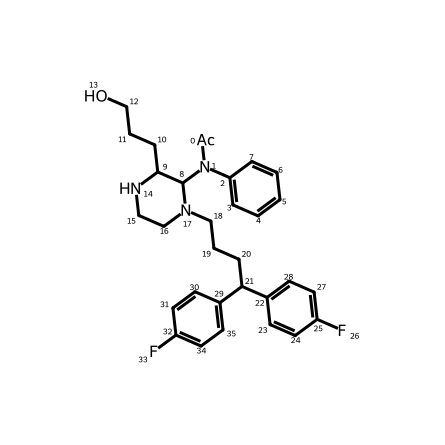 CC(=O)N(c1ccccc1)C1C(CCCO)NCCN1CCCC(c1ccc(F)cc1)c1ccc(F)cc1